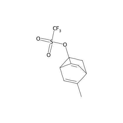 CC1=CC2CCC1C=C2OS(=O)(=O)C(F)(F)F